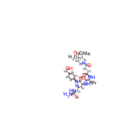 COC(=O)C1(C)CCN(C(=O)CCC(=O)N[C@H](C(=O)N[C@@H](CCCNC(N)=O)C(=O)Nc2ccc(CO)cc2)C(C)C)CC1